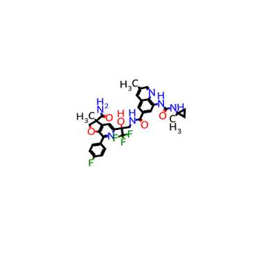 Cc1cnc2c(NC(=O)NC3(C)CC3)cc(C(=O)NC[C@@](O)(c3cc4c(c(-c5ccc(F)cc5)n3)OC[C@]4(C)C(N)=O)C(F)(F)F)cc2c1